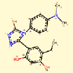 CCc1cc(-c2nnc(S)n2-c2ccc(N(C)C)cc2)c(O)cc1O